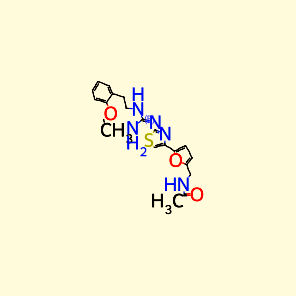 CCOc1ccccc1CCN/C(N)=N/c1nc(-c2ccc(CNC(C)=O)o2)cs1